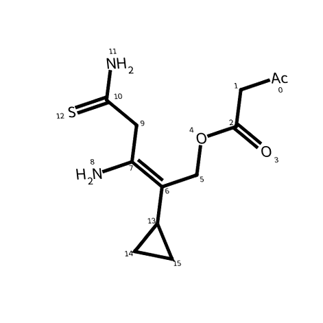 CC(=O)CC(=O)OCC(=C(N)CC(N)=S)C1CC1